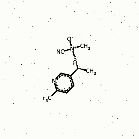 C[C@H]([SH-][N+](C)([O-])C#N)c1ccc(C(F)(F)F)nc1